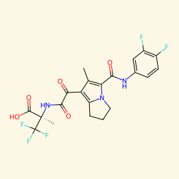 Cc1c(C(=O)C(=O)N[C@](C)(C(=O)O)C(F)(F)F)c2n(c1C(=O)Nc1ccc(F)c(F)c1)CCC2